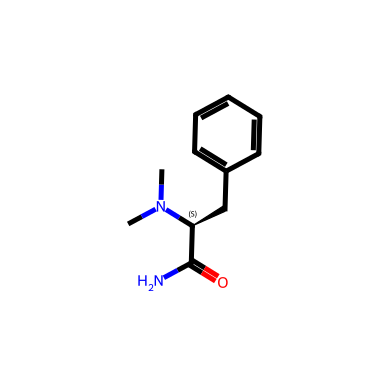 CN(C)[C@@H](Cc1ccccc1)C(N)=O